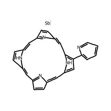 C1=Cc2cc3cc(-c4ccccn4)c(cc4nc(cc5ccc(cc1n2)[nH]5)C=C4)[nH]3.[Sb]